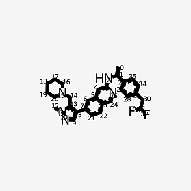 C=C(Nc1cc2cc(-c3cnn(C)c3CN3CCCCC3)ccc2cn1)c1ccc(CC(F)F)cc1